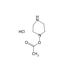 CC(=O)ON1CCNCC1.Cl